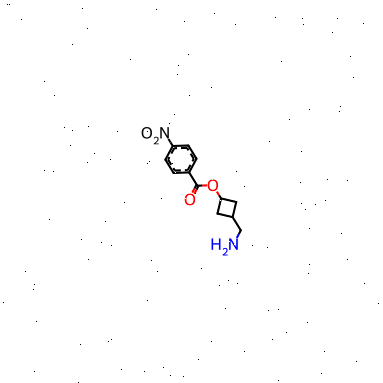 NCC1CC(OC(=O)c2ccc([N+](=O)[O-])cc2)C1